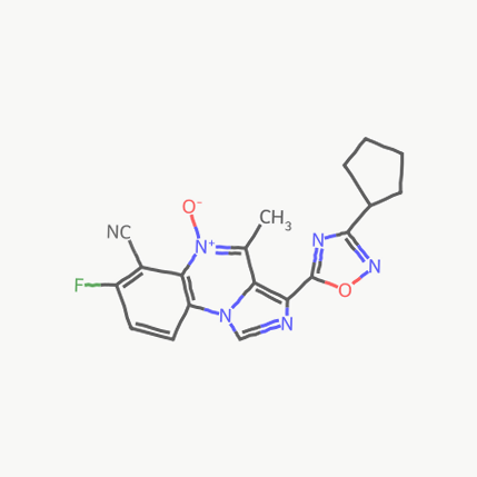 Cc1c2c(-c3nc(C4CCCC4)no3)ncn2c2ccc(F)c(C#N)c2[n+]1[O-]